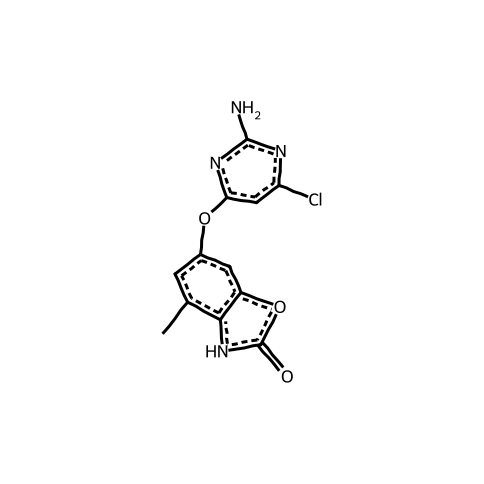 Cc1cc(Oc2cc(Cl)nc(N)n2)cc2oc(=O)[nH]c12